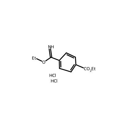 CCOC(=N)c1ccc(C(=O)OCC)cc1.Cl.Cl